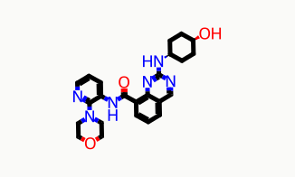 O=C(Nc1cccnc1N1CCOCC1)c1cccc2cnc(N[C@H]3CC[C@H](O)CC3)nc12